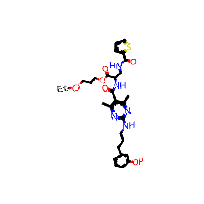 CCOCCCOC(=O)C(CNC(=O)c1cccs1)NC(=O)c1c(C)nc(NCCCc2cccc(O)c2)nc1C